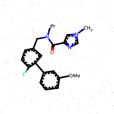 COc1cccc(-c2cc(CN(C(=O)c3cn(C)cn3)C(C)C)ccc2F)c1